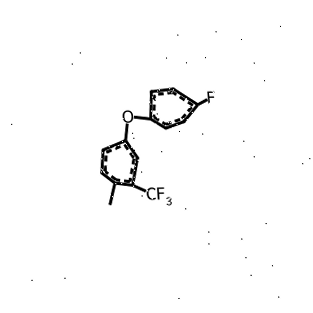 Cc1ccc(Oc2ccc(F)cc2)cc1C(F)(F)F